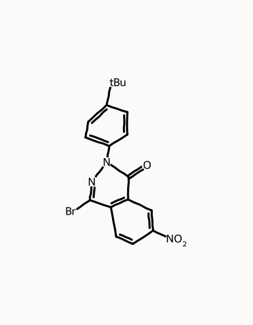 CC(C)(C)c1ccc(-n2nc(Br)c3ccc([N+](=O)[O-])cc3c2=O)cc1